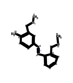 COCc1cc(/N=N/c2ccccc2COC)ccc1N